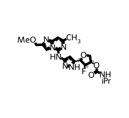 COCc1cn2c(Nc3cc([C@H]4OC[C@@H](OC(=O)NC(C)C)[C@H]4F)[nH]n3)nc(C)cc2n1